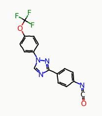 O=C=Nc1ccc(-c2ncn(-c3ccc(OC(F)(F)F)cc3)n2)cc1